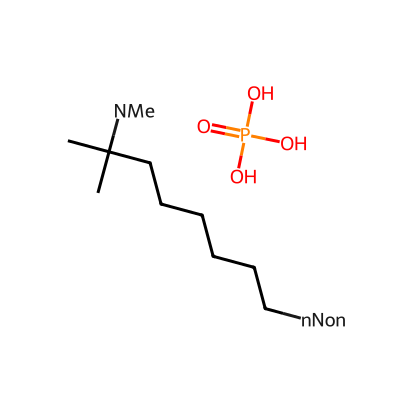 CCCCCCCCCCCCCCCC(C)(C)NC.O=P(O)(O)O